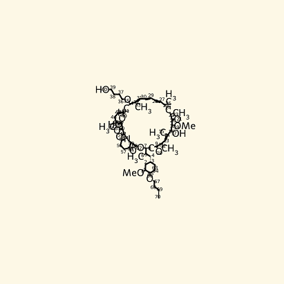 CO[C@@H]1C[C@H](C[C@@H](C)[C@@H]2CC(=O)[C@H](C)/C=C(\C)[C@@H](O)[C@@H](OC)C(=O)[C@H](C)C[C@H](C)/C=C/C=C/C=C(\C)[C@@H](OCCCCO)C[C@@H]3CC[C@@H](C)[C@@](O)(O3)C(=O)C(=O)N3CCCCC3C(=O)O2)CC[C@H]1OCCCI